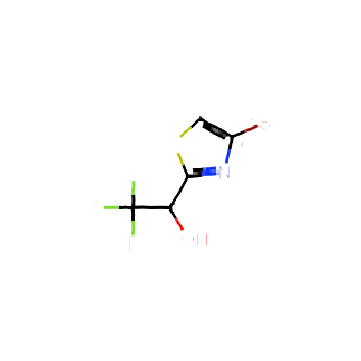 OC(c1nc(Br)cs1)C(F)(F)F